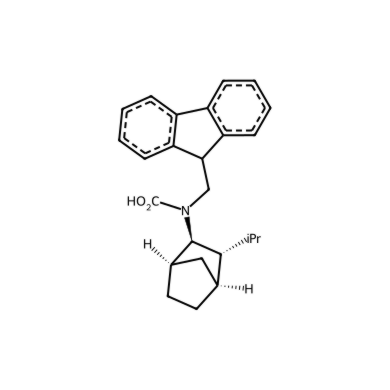 CC(C)[C@@H]1[C@H]2CC[C@H](C2)[C@H]1N(CC1c2ccccc2-c2ccccc21)C(=O)O